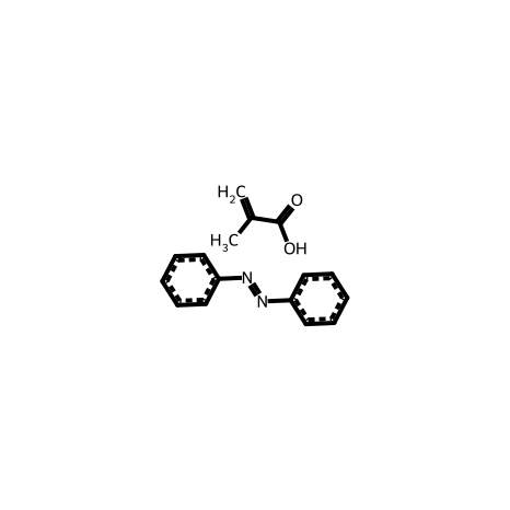 C=C(C)C(=O)O.c1ccc(N=Nc2ccccc2)cc1